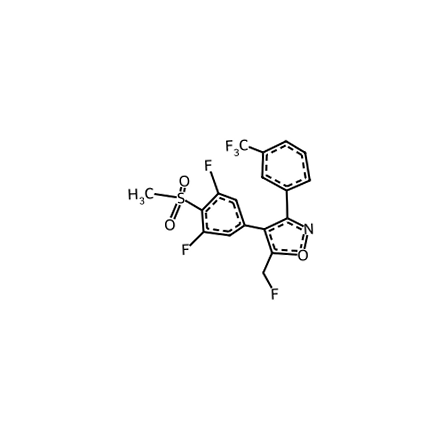 CS(=O)(=O)c1c(F)cc(-c2c(-c3cccc(C(F)(F)F)c3)noc2CF)cc1F